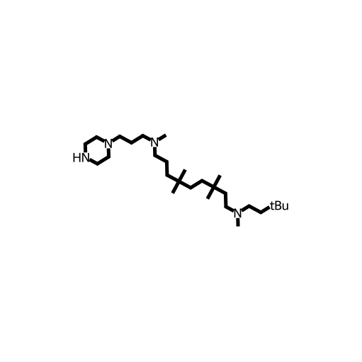 CN(CCCN1CCNCC1)CCCC(C)(C)CCC(C)(C)CCN(C)CCC(C)(C)C